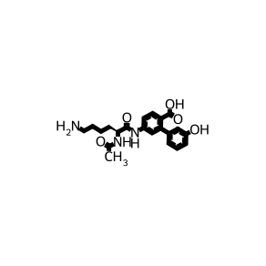 CC(=O)N[C@@H](CCCCN)C(=O)Nc1ccc(C(=O)O)c(-c2cccc(O)c2)c1